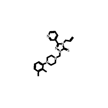 C=CCn1c(-c2cccnc2)nn(CN2CCN(c3cccc(C)c3C)CC2)c1=S